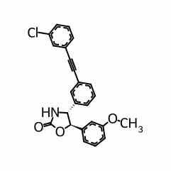 COc1cccc([C@H]2OC(=O)N[C@@H]2c2cccc(C#Cc3cccc(Cl)c3)c2)c1